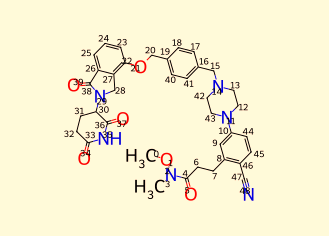 CON(C)C(=O)CCc1cc(N2CCN(Cc3ccc(COc4cccc5c4CN(C4CCC(=O)NC4=O)C5=O)cc3)CC2)ccc1C#N